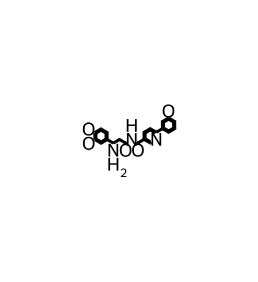 COc1cccc(-c2ccc(C(=O)NC(=O)CC(N)c3ccc(OC)c(OC)c3)cn2)c1